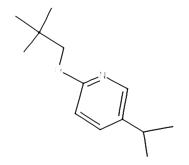 CC(C)c1ccc(OCC(C)(C)C)nc1